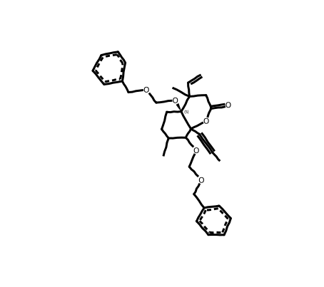 C=CC1(C)CC(=O)OC2(C#CC)C(OCOCc3ccccc3)C(C)CC[C@]12OCOCc1ccccc1